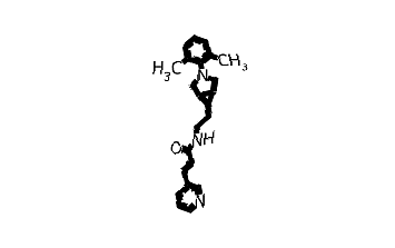 Cc1cccc(C)c1N1CC2C(CCNC(=O)/C=C/c3cccnc3)C2C1